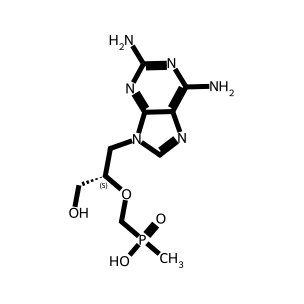 CP(=O)(O)CO[C@H](CO)Cn1cnc2c(N)nc(N)nc21